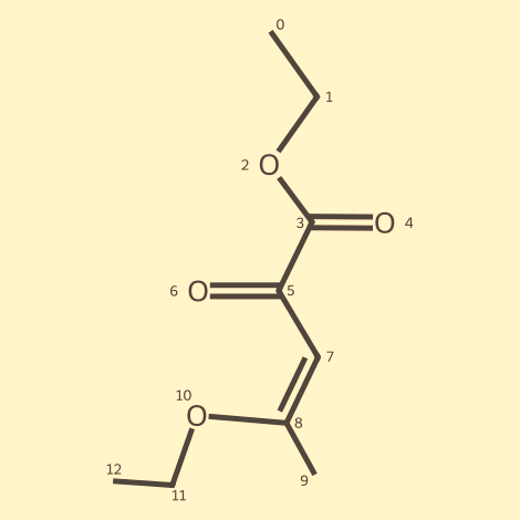 CCOC(=O)C(=O)/C=C(/C)OCC